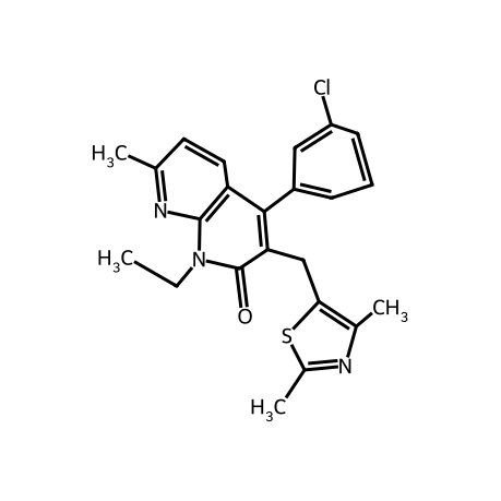 CCn1c(=O)c(Cc2sc(C)nc2C)c(-c2cccc(Cl)c2)c2ccc(C)nc21